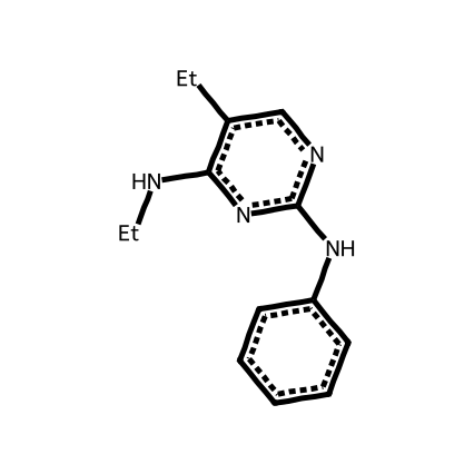 [CH2]Cc1cnc(Nc2ccccc2)nc1NCC